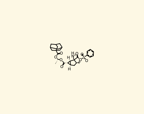 C[C@@H](OC(=O)[C@H]1[C@@H]2C[C@H](F)[C@@](N)(C(=O)OS(=O)(=O)c3ccccc3)[C@@H]21)OC(=O)C12CC3CC(CC(C3)C1)C2